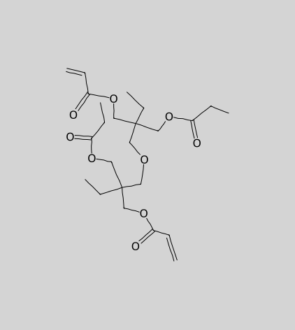 C=CC(=O)OCC(CC)(COCC(CC)(COC(=O)C=C)COC(=O)CC)COC(=O)CC